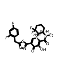 CCN1C(=O)c2c(O)c(=O)c(-c3nnc(Cc4ccc(F)cc4F)s3)cn2[C@@H]2[C@H]1CCCC2(F)F